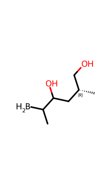 BC(C)C(O)C[C@@H](C)CO